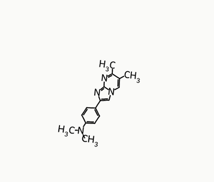 Cc1cn2cc(-c3ccc(N(C)C)cc3)nc2nc1C